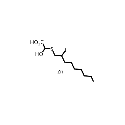 O=C(O)C(O)SCC(I)CCCCCCI.[Zn]